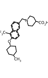 C[C@H]1CC[C@@H](Oc2ccc3cc(CN4CCC(C(=O)O)CC4)ccc3c2C(F)(F)F)CC1